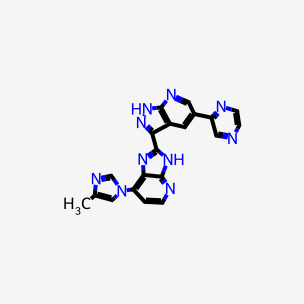 Cc1cn(-c2ccnc3[nH]c(-c4n[nH]c5ncc(-c6cnccn6)cc45)nc23)cn1